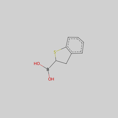 OB(O)C1Cc2ccccc2S1